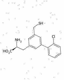 N[C@@H](Cc1cc(CS)cc(-c2ccccc2Cl)c1)C(=O)O